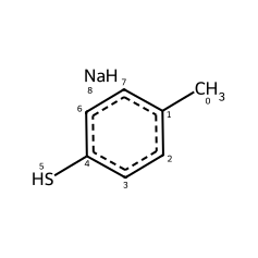 Cc1ccc(S)cc1.[NaH]